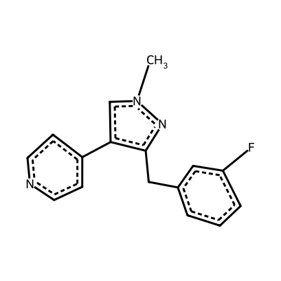 Cn1cc(-c2ccncc2)c(Cc2cccc(F)c2)n1